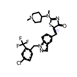 CN1CCC(N(C)C2=NC(=O)/C(=C/c3ccc4c(cnn4Cc4ccc(Cl)cc4C(F)(F)F)c3)S2)CC1